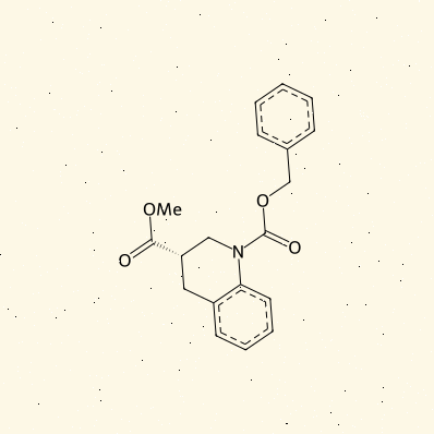 COC(=O)[C@H]1Cc2ccccc2N(C(=O)OCc2ccccc2)C1